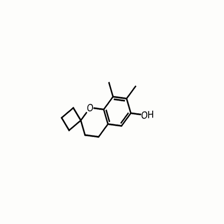 Cc1c(O)cc2c(c1C)OC1(CCC1)CC2